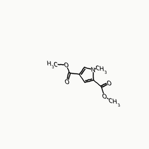 COC(=O)c1cc(C(=O)OC)n(C)c1